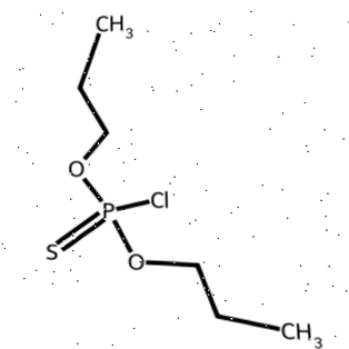 CCCOP(=S)(Cl)OCCC